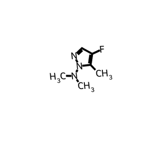 Cc1c(F)cnn1N(C)C